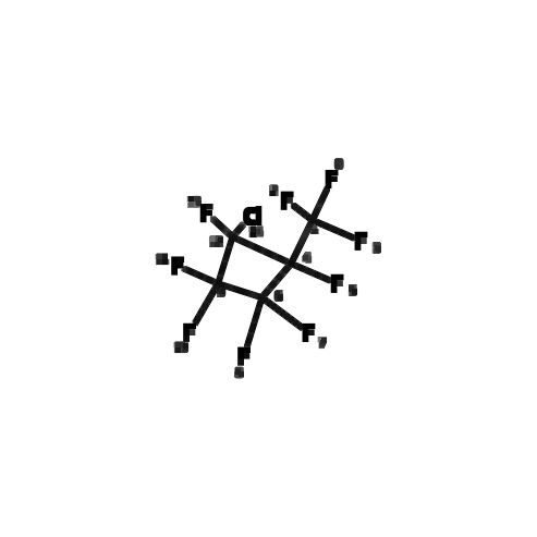 FC(F)(F)C1(F)C(F)(F)C(F)(F)C1(F)Cl